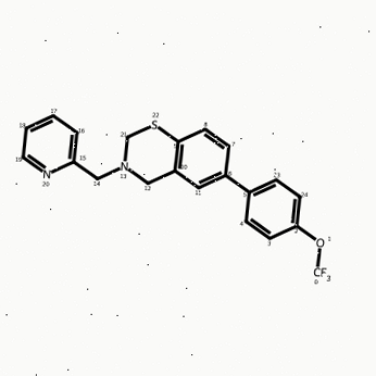 FC(F)(F)Oc1ccc(-c2ccc3c(c2)CN(Cc2ccccn2)CS3)cc1